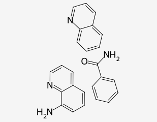 NC(=O)c1ccccc1.Nc1cccc2cccnc12.c1ccc2ncccc2c1